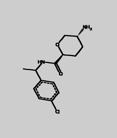 CC(NC(=O)[C@@H]1CC[C@@H](N)CO1)c1ccc(Cl)cc1